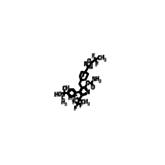 CC(C)(O)c1ccc(-c2c(C(C)(C)C(F)(F)F)cnc(OC(N)=O)c2CC23CCC(c4noc(C(C)(F)F)n4)(CC2)CC3)cc1